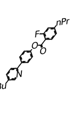 CCCCc1ccc(-c2ccc(OC(=O)c3ccc(CCC)cc3F)cc2)nc1